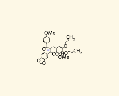 C=CCOc1cc(C/C(C(=O)c2ccc(OC)cc2)=C(\C(=O)O)c2ccc3c(c2)OCO3)cc(OC)c1OCC=C